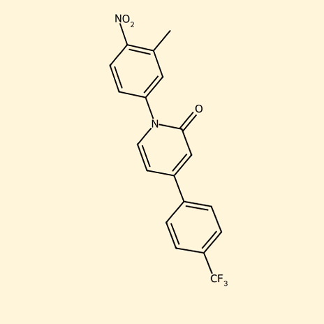 Cc1cc(-n2ccc(-c3ccc(C(F)(F)F)cc3)cc2=O)ccc1[N+](=O)[O-]